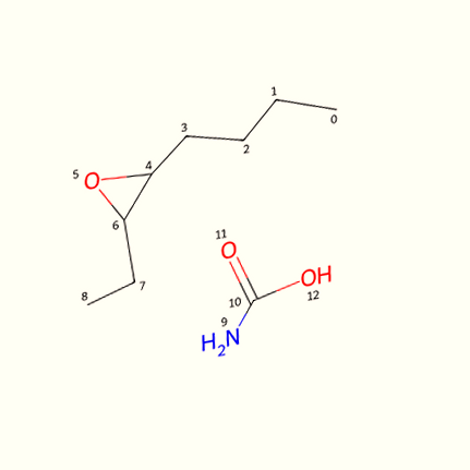 CCCCC1OC1CC.NC(=O)O